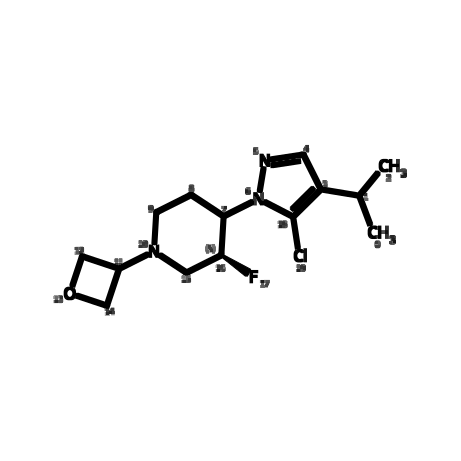 CC(C)c1cnn(C2CCN(C3COC3)C[C@@H]2F)c1Cl